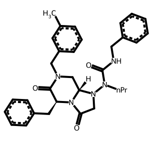 CCCN(C(=O)NCc1ccccc1)N1CC(=O)N2[C@@H](Cc3ccccc3)C(=O)N(Cc3cccc(C)c3)C[C@@H]21